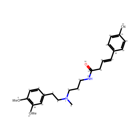 COc1ccc(CCN(C)CCCNC(=O)C/C=C/c2ccc(C#N)cc2)cc1OC